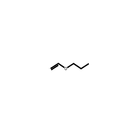 [CH]=COCCC